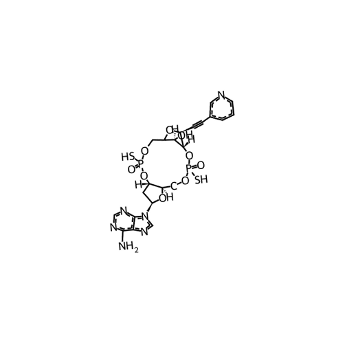 Nc1ncnc2c1ncn2[C@H]1C[C@@H]2OP(=O)(S)OCC3O[C@@H](C#Cc4cccnc4)[C@H](OP(=O)(S)OC[C@H]2O1)[C@@H]3O